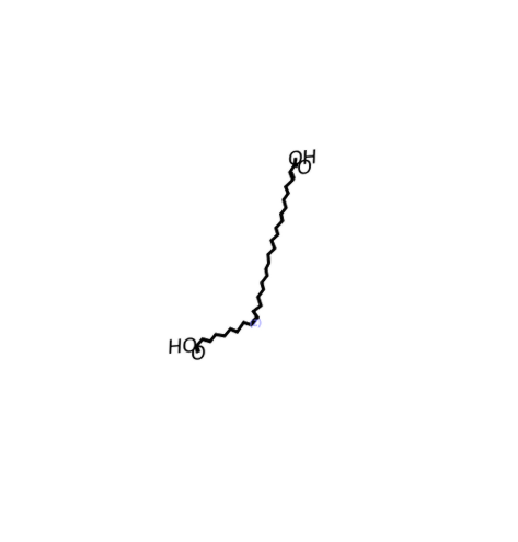 O=C(O)C=CCCCCCCCCCCCCCCCCCCC/C=C\CCCCCCCC(=O)O